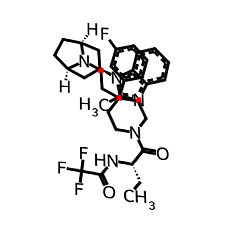 CC[C@H](NC(=O)C(F)(F)F)C(=O)N1CCC(CCN2[C@@H]3CC[C@H]2C[C@@H](n2c(C)nc4ccccc42)C3)(c2cccc(F)c2)CC1